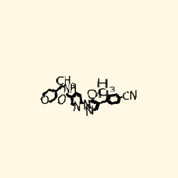 Cc1cc(C#N)ccc1-c1cnn(-c2ccc(C(=O)NC(C)C3CCOCC3)cn2)c1O